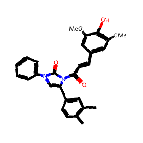 COc1cc(C=CC(=O)n2c(-c3ccc(C)c(C)c3)cn(-c3ccccc3)c2=O)cc(OC)c1O